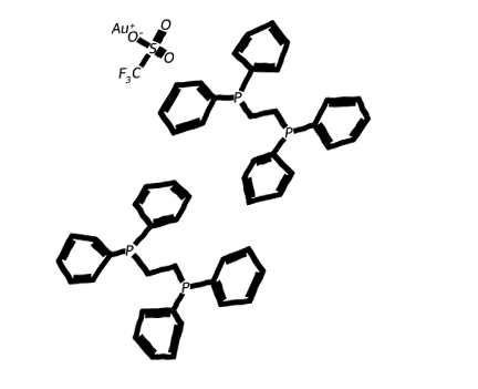 O=S(=O)([O-])C(F)(F)F.[Au+].c1ccc(P(CCP(c2ccccc2)c2ccccc2)c2ccccc2)cc1.c1ccc(P(CCP(c2ccccc2)c2ccccc2)c2ccccc2)cc1